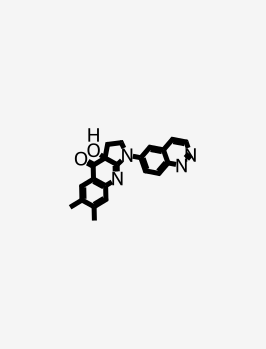 Cc1cc2c(cc1C)C(=O)C1(O)CCN(c3ccc4nnccc4c3)C1=N2